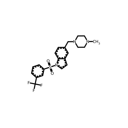 CN1CCN(Cc2ccc3c(ccn3S(=O)(=O)c3cccc(C(F)(F)F)c3)c2)CC1